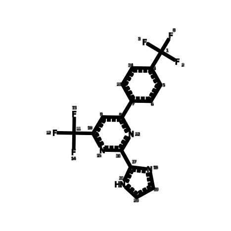 FC(F)(F)c1ccc(-c2cc(C(F)(F)F)nc(-c3ncc[nH]3)n2)cc1